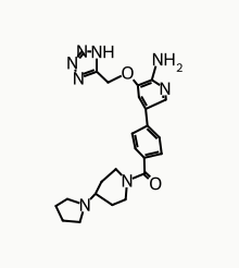 Nc1ncc(-c2ccc(C(=O)N3CCC(N4CCCC4)CC3)cc2)cc1OCc1nnn[nH]1